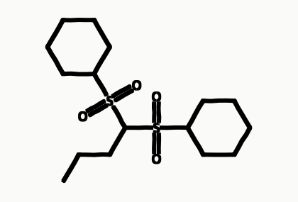 CCCC(S(=O)(=O)C1CCCCC1)S(=O)(=O)C1CCCCC1